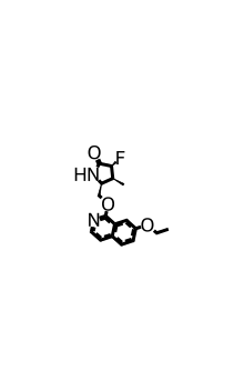 CCOc1ccc2ccnc(OC[C@H]3NC(=O)[C@@H](F)[C@H]3C)c2c1